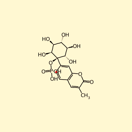 Cc1cc2ccc([C@@]3(OP(=O)(O)O)[C@@H](O)[C@H](O)[C@@H](O)[C@H](O)[C@@H]3O)cc2oc1=O